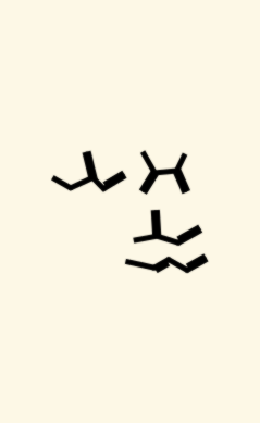 C=C(C)C(=C)C.C=CC(=C)C.C=CC(=C)CC.C=CC=CC